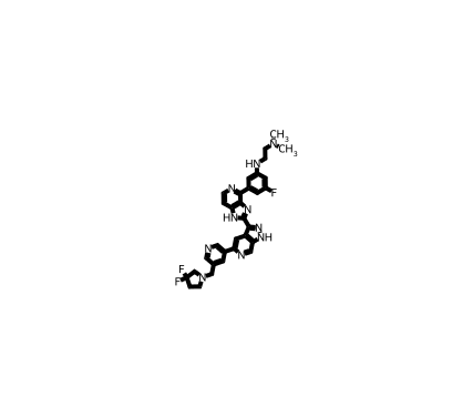 CN(C)CCNc1cc(F)cc(-c2nccc3[nH]c(-c4n[nH]c5cnc(-c6cncc(CN7CCC(F)(F)C7)c6)cc45)nc23)c1